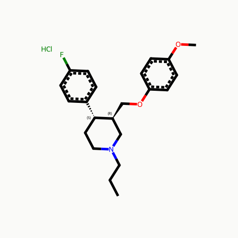 CCCN1CC[C@H](c2ccc(F)cc2)[C@@H](COc2ccc(OC)cc2)C1.Cl